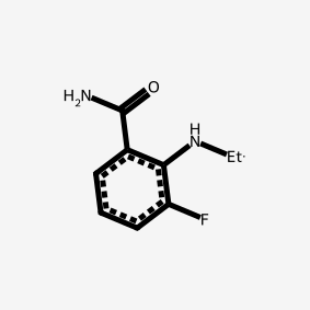 C[CH]Nc1c(F)cccc1C(N)=O